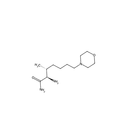 C[C@H](CCCCN1CCOCC1)[C@@H](N)C(N)=O